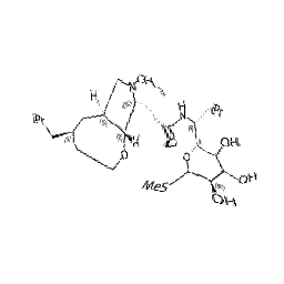 CSC1O[C@H]([C@H](NC(=O)[C@@H]2[C@@H]3OCC[C@@H](CC(C)C)C[C@H]3CN2C)C(C)C)C(O)C(O)[C@H]1O